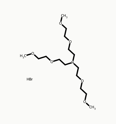 Br.COCCOCCN(CCOCCOC)CCOCCOC